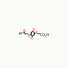 CC(C)C(=O)CCSC1=CC(=O)C(SCCC(=O)O)=CC1=O